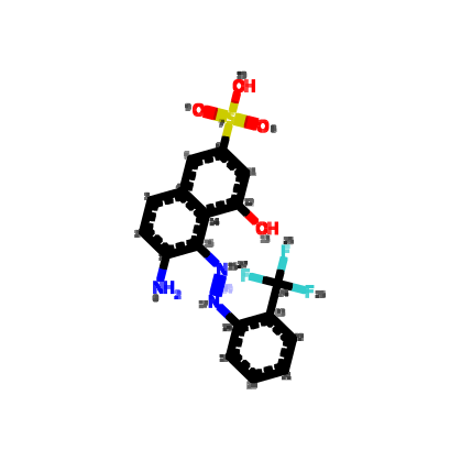 Nc1ccc2cc(S(=O)(=O)O)cc(O)c2c1/N=N/c1ccccc1C(F)(F)F